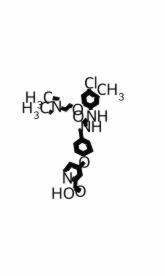 CCN(CC)CCOc1cc(Cl)c(C)cc1NC(=O)NCc1ccc(Oc2ccnc(C(=O)O)c2)cc1